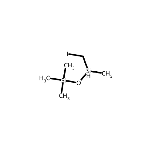 C[SiH](CI)O[Si](C)(C)C